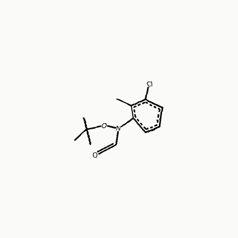 Cc1c(Cl)cccc1N(C=O)OC(C)(C)C